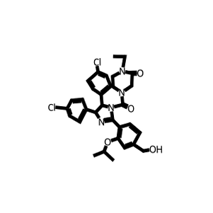 CCN1CCN(C(=O)N2C(c3ccc(CO)cc3OC(C)C)=NC(c3ccc(Cl)cc3)C2c2ccc(Cl)cc2)CC1=O